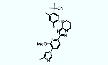 COc1nc(-c2nc3n(n2)CCC[C@H]3c2cc(C(C)(C)C#N)c(C)cc2F)ccc1-n1cnc(C)c1